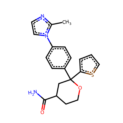 Cc1nccn1-c1ccc(C2(c3cccs3)CC(C(N)=O)CCO2)cc1